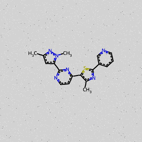 Cc1cc(-c2nccc(-c3sc(-c4cccnc4)nc3C)n2)n(C)n1